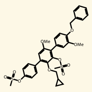 COc1cc(-c2c(OC)cc(-c3ccc(OS(C)(=O)=O)cc3)c(OCC3CC3)c2OS(C)(=O)=O)ccc1OCc1ccccc1